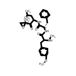 CNC(Cc1ccc(OC)cc1)C(=O)N[C@@H](Cc1ccccc1)C(=O)NC(CC(C)C)C(=O)[C@@]1(C)CO1